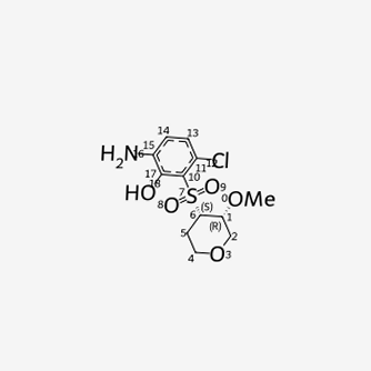 CO[C@@H]1COCC[C@@H]1S(=O)(=O)c1c(Cl)ccc(N)c1O